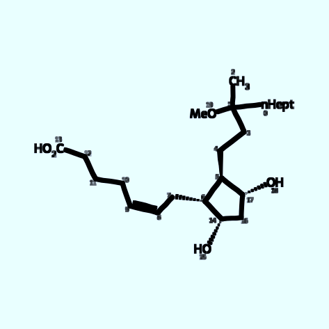 CCCCCCCC(C)(CC[C@@H]1[C@@H](C/C=C\CCCC(=O)O)[C@@H](O)C[C@H]1O)OC